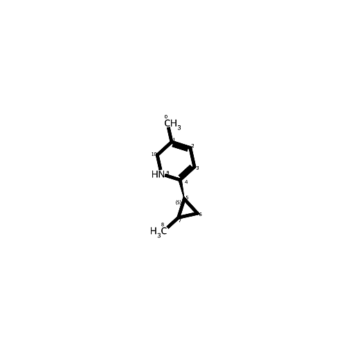 CC1=CC=C([C@H]2CC2C)NC1